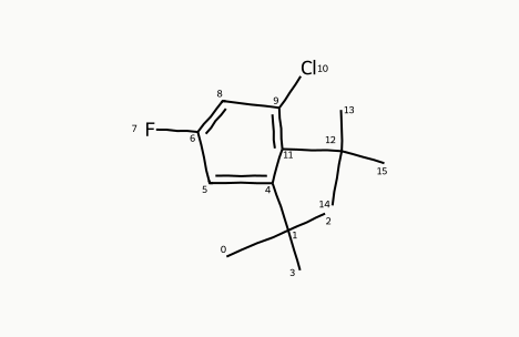 CC(C)(C)c1cc(F)cc(Cl)c1C(C)(C)C